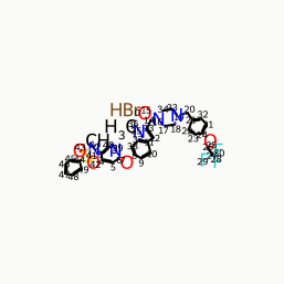 Br.CN(c1ccc(Oc2ccc3cc(C(=O)N4CCN(Cc5ccc(OCC(F)(F)F)cc5)CC4)n(C)c3c2)nc1)S(=O)(=O)c1ccccc1